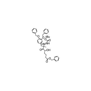 CC(C)(C)OC(=O)NNC(C)(Cc1ccc(OCc2ccccc2)c(OCc2ccccc2)c1)C(=O)C(O)CCCC(=O)OCc1ccccc1